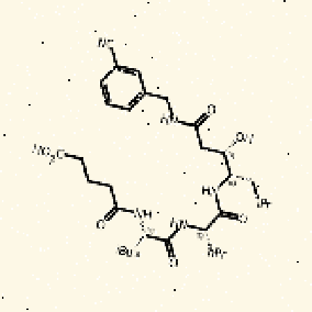 CCC[C@H](NC(=O)[C@@H](NC(=O)CCCC(=O)O)[C@@H](C)CC)C(=O)N[C@@H](CC(C)C)[C@@H](O)CC(=O)NCc1cccc(C#N)c1